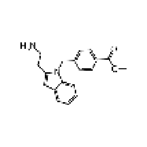 COC(=O)c1ccc(Cn2c(CCN)cc3ccccc32)cc1